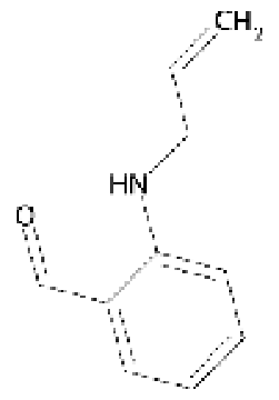 C=CCNc1ccccc1C=O